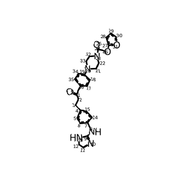 O=C(CCc1ccc(NC2=NCCN2)cc1)c1ccc(N2CCN(C(=O)Oc3ccco3)CC2)cc1